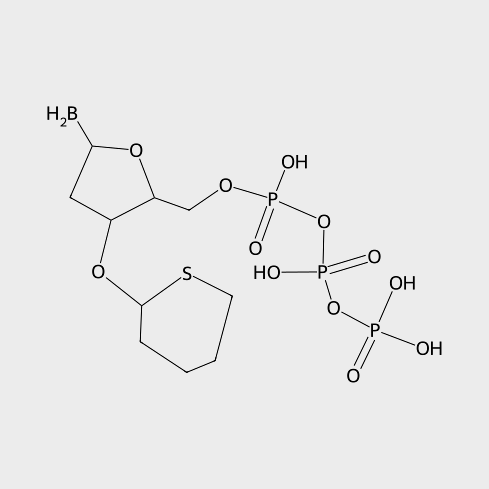 BC1CC(OC2CCCCS2)C(COP(=O)(O)OP(=O)(O)OP(=O)(O)O)O1